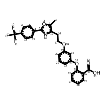 Cc1oc(-c2ccc(C(F)(F)F)cc2)nc1CCOc1cccc(Oc2ccccc2C(=O)O)c1